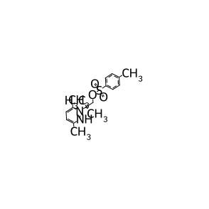 CC1=CC=C(C)N(C(C)(C)COS(=O)(=O)c2ccc(C)cc2)N1